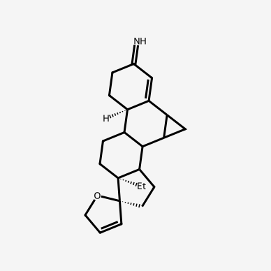 CC[C@]12CCC3C(C4CC4C4=CC(=N)CC[C@@H]43)C1CC[C@@]21C=CCO1